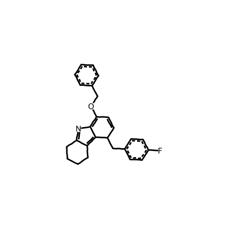 Fc1ccc(CC2C=CC(OCc3ccccc3)=C3N=C4CCCCC4=C32)cc1